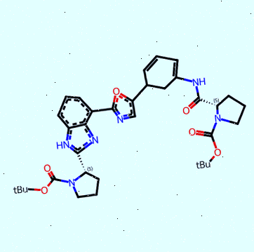 CC(C)(C)OC(=O)N1CCC[C@H]1C(=O)NC1=CC=CC(c2cnc(-c3cccc4[nH]c([C@@H]5CCCN5C(=O)OC(C)(C)C)nc34)o2)C1